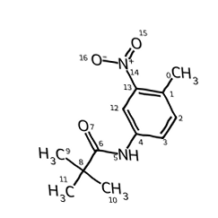 Cc1ccc(NC(=O)C(C)(C)C)cc1[N+](=O)[O-]